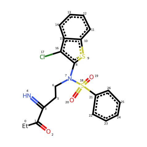 CCC(=O)C(=N)CCN(c1sc2ccccc2c1Cl)S(=O)(=O)c1ccccc1